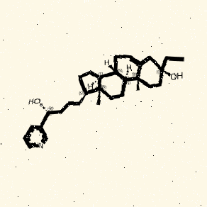 CC[C@]1(O)CC[C@@]2(C)C(=CC[C@H]3[C@@H]4CC[C@H](CCC[C@@H](O)c5cccnc5)[C@@]4(C)CC[C@@H]32)C1